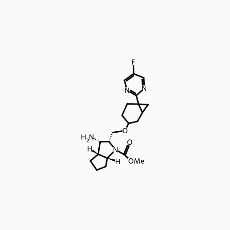 COC(=O)N1[C@@H]2CCC[C@@H]2[C@H](N)[C@@H]1COC1CCC2(c3ncc(F)cn3)CC2C1